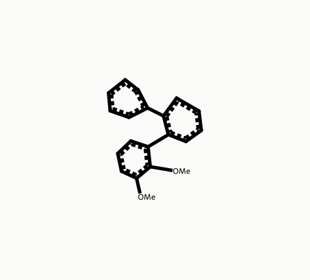 COc1cccc(-c2ccccc2-c2ccccc2)c1OC